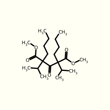 CCCCC(C(=O)OC)(C(=O)C(CCCC)(C(=O)OC)C(C)C)C(C)C